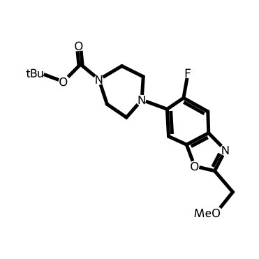 COCc1nc2cc(F)c(N3CCN(C(=O)OC(C)(C)C)CC3)cc2o1